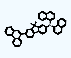 CC1(C)c2cc(-c3cc4ccccc4c4ccccc34)ccc2-c2ccc(N(c3cccc4ccccc34)c3cccc4ccccc34)cc21